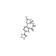 CN1CC2c3ccc(C4=CCCC4)cc3C(=O)NC[C@H]2C1